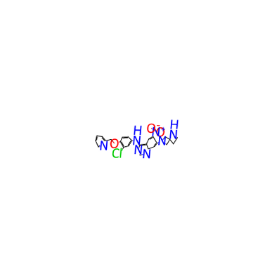 O=[N+]([O-])c1cc2c(Nc3ccc(OCc4ccccn4)c(Cl)c3)ncnc2cc1N1CC2(CCN2)C1